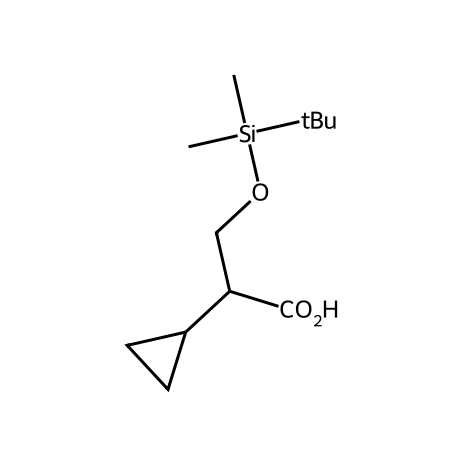 CC(C)(C)[Si](C)(C)OCC(C(=O)O)C1CC1